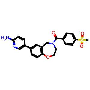 CS(=O)(=O)c1ccc(C(=O)N2CCOc3ccc(-c4ccc(N)nc4)cc3C2)cc1